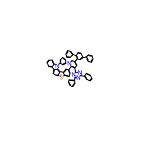 c1ccc(-c2ccc(-c3ccccc3)c(-c3cnc(-c4ccc5sc6ccc7c8ccccc8n(-c8ccccc8)c7c6c5c4)c(-c4nc(-c5ccccc5)nc(-c5ccccc5)n4)c3)c2)cc1